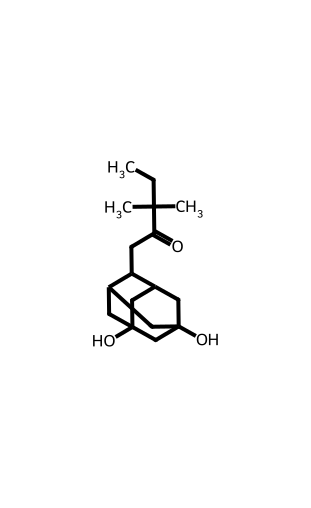 CCC(C)(C)C(=O)CC1C2CC3(O)CC1CC(O)(C2)C3